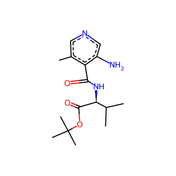 Cc1cncc(N)c1C(=O)N[C@H](C(=O)OC(C)(C)C)C(C)C